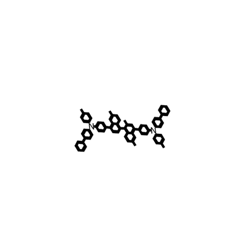 Cc1ccc(N(c2ccc(-c3ccccc3)cc2)c2ccc(-c3ccc(-c4c(C)cc(-c5ccc(N(c6ccc(C)cc6)c6ccc(-c7ccccc7)cc6)cc5)c5cc(C)ccc45)c4ccc(C)cc34)cc2)cc1